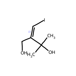 CC(C)(O)/C(=C\I)CO